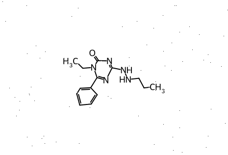 CCCNNc1nc(-c2ccccc2)n(CC)c(=O)n1